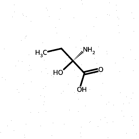 CC[C@](N)(O)C(=O)O